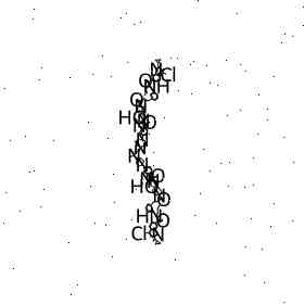 CN(CCN1CCN(c2ccc3c(=O)n(CC4(O)CCN(C(=O)[C@H](CCCNC(=O)c5ccc6c(Cl)cc(C7CC7)nc6c5)Cc5ccccc5)CC4)cnc3c2)CC1)C1CCN(c2ccc3c(=O)n(CC4(O)CCN(C(=O)[C@H](CCCNC(=O)c5ccc6c(Cl)cc(C7CC7)nc6c5)Cc5ccccc5)CC4)cnc3c2)CC1